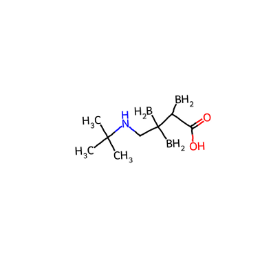 BC(C(=O)O)C(B)(B)CNC(C)(C)C